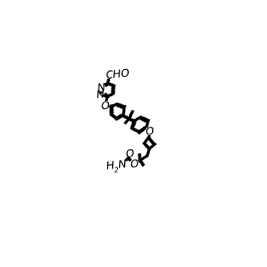 CC(C)(CC1CC(Oc2ccc(C(C)(C)c3ccc(Oc4ccc(C=O)nn4)cc3)cc2)C1)OC(N)=O